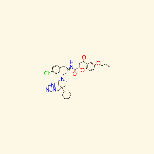 C=CCOc1ccc2oc(C(=O)N[C@H](CCN3CCC(Cn4cncn4)(C4CCCCC4)CC3)Cc3ccc(Cl)cc3)cc(=O)c2c1